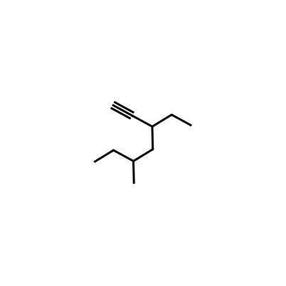 C#CC(CC)CC(C)CC